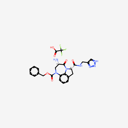 N[C@H]1CN(C(=O)OCc2ccccc2)c2cccc3c2N(C1=O)[C@H](C(=O)NCc1c[nH]nn1)C3.O=C(O)C(F)(F)F